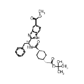 COC(=O)c1ccc2[nH]c([C@H](Cc3ccccc3)NC(=O)[C@H]3CC[C@H](CC(=O)OC(C)(C)C)CC3)nc2c1